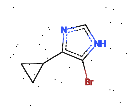 Brc1[nH]cnc1C1CC1